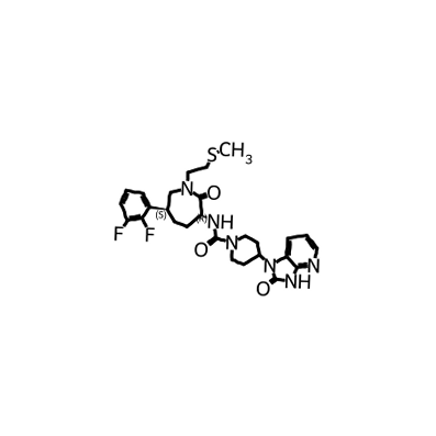 CSCCN1C[C@H](c2cccc(F)c2F)CC[C@@H](NC(=O)N2CCC(n3c(=O)[nH]c4ncccc43)CC2)C1=O